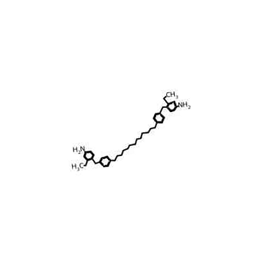 CCc1cc(N)ccc1Cc1ccc(CCCCCCCCCCCCCc2ccc(Cc3ccc(N)cc3CC)cc2)cc1